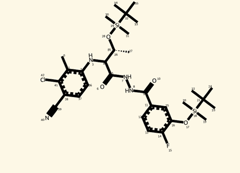 Cc1c(NC(C(=O)NNC(=O)c2ccc(F)c(O[Si](C)(C)C(C)(C)C)c2)[C@@H](C)O[Si](C)(C)C(C)(C)C)ccc(C#N)c1Cl